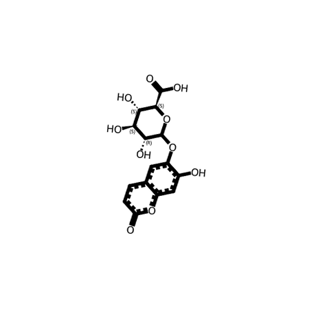 O=C(O)[C@H]1OC(Oc2cc3ccc(=O)oc3cc2O)[C@H](O)[C@@H](O)[C@@H]1O